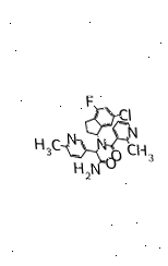 Cc1ccc([C@H](C(N)=O)N(C(=O)c2cccnc2C)[C@@H]2CCc3c(F)cc(Cl)cc32)cn1